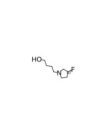 OCCCCN1CC[C@H](F)C1